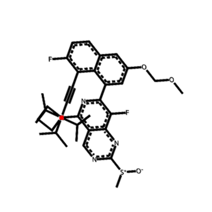 COCOc1cc(-c2nc(N3CCC3)c3cnc([S+](C)[O-])nc3c2F)c2c(C#C[Si](C(C)C)(C(C)C)C(C)C)c(F)ccc2c1